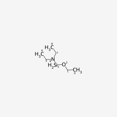 CCO[SiH2]N(CC)CC